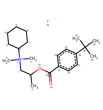 CC(C[N+](C)(C)C1CCCCC1)OC(=O)c1ccc(C(C)(C)C)cc1.[I-]